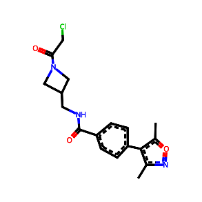 Cc1noc(C)c1-c1ccc(C(=O)NCC2CN(C(=O)CCl)C2)cc1